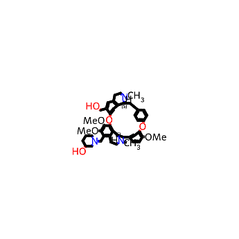 COc1ccc2cc1Oc1ccc(cc1)C[C@H]1c3cc(c(CO)cc3CCN1C)Oc1c(OC)c(OC)c(CN3CCCC(O)C3)c3c1[C@H](C2)N(C)CC3